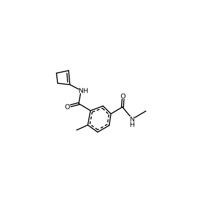 CNC(=O)c1ccc(C)c(C(=O)NC2=CCC2)c1